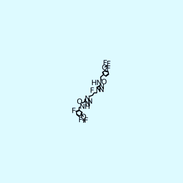 CC(F)(F)Oc1ccc(F)c(CNC(=O)c2cn(CCC(F)Cn3cc(NC(=O)Cc4cccc(OC(F)(F)F)c4)nn3)nn2)c1